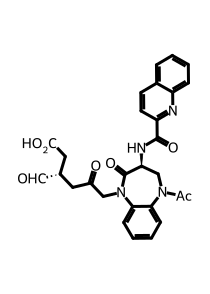 CC(=O)N1C[C@H](NC(=O)c2ccc3ccccc3n2)C(=O)N(CC(=O)C[C@H](C=O)CC(=O)O)c2ccccc21